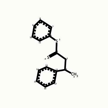 CC(CC(=S)Sc1ccccc1)c1ccccc1